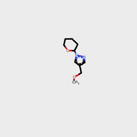 COCc1cnn(C2CCCCO2)c1